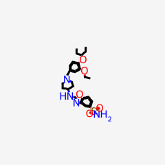 CCOc1cc(CN2CCC(Nc3nc4cc(S(N)(=O)=O)ccc4o3)CC2)ccc1OC(CC)CC